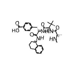 CN[C@@H](C)C(=O)N[C@H](C(=O)N[C@@H](Cc1ccc(C(=O)O)cc1)C(=O)N[C@@H]1CCCc2ccccc21)C(C)(C)C